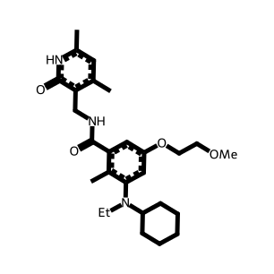 CCN(c1cc(OCCOC)cc(C(=O)NCc2c(C)cc(C)[nH]c2=O)c1C)C1CCCCC1